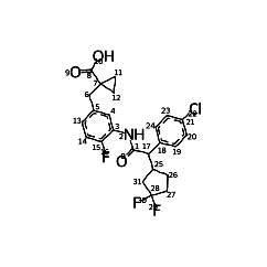 O=C(Nc1cc(CC2(C(=O)O)CC2)ccc1F)C(c1ccc(Cl)cc1)C1CCC(F)(F)C1